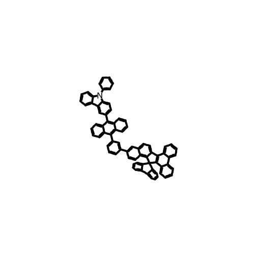 c1ccc(-n2c3ccccc3c3cc(-c4c5ccccc5c(-c5cccc(-c6ccc7c8c(ccc7c6)-c6c(c7ccccc7c7ccccc67)C86c7ccccc7-c7ccccc76)c5)c5ccccc45)ccc32)cc1